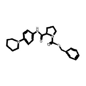 O=C(Nc1ccc(N2CCCCC2)cc1)C1CCCN1C(=O)OCc1ccccc1